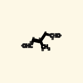 C/C(=C\[C]=O)C[C]=O